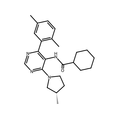 Cc1ccc(C)c(-c2ncnc(N3CC[C@H](C)C3)c2NC(=O)C2CCCCC2)c1